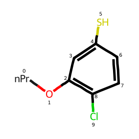 CCCOc1cc(S)ccc1Cl